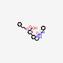 O=C(O)c1nc(-c2ccc3c(c2)N(C(=O)Nc2nc4ccccc4s2)CCC3)ccc1OCCCc1ccccc1